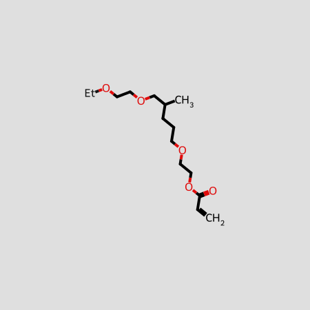 C=CC(=O)OCCOCCCC(C)COCCOCC